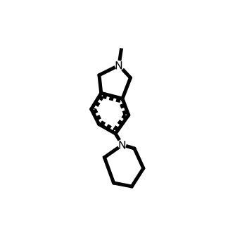 CN1Cc2ccc(N3CCCCC3)cc2C1